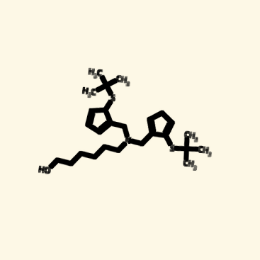 CC(C)(C)SC1=CCC=C1CN(CCCCCCO)CC1=CC=CC1SC(C)(C)C